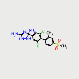 Cc1cc(S(C)(=O)=O)ccc1-c1c(Cl)cc(C2(N)N=C(N)NN2)cc1Cl